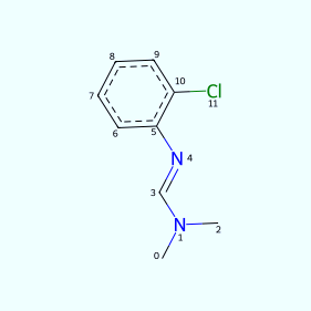 CN(C)C=Nc1ccccc1Cl